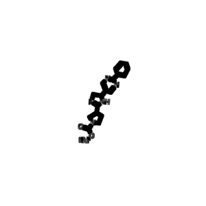 CC(C)(C)OC(=O)N1CCC(C2=NCC(c3cnc(-c4ccccc4)nc3)N2)C1